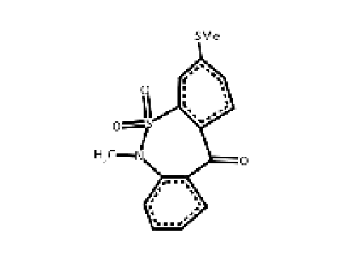 CSc1ccc2c(c1)S(=O)(=O)N(C)c1ccccc1C2=O